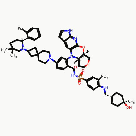 CC(C)c1ccccc1[C@@H]1CCC(C)(C)CN1C1CC2(CCN(c3ccc(C(=O)NS(=O)(=O)c4ccc(NC[C@H]5CC[C@](C)(O)CC5)c([N+](=O)[O-])c4)c(N4c5cc6cc[nH]c6nc5O[C@H]5COCC[C@@H]54)c3)CC2)C1